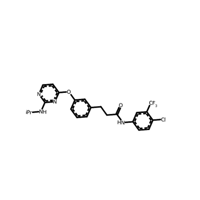 CC(C)Nc1nccc(Oc2cccc(CCC(=O)Nc3ccc(Cl)c(C(F)(F)F)c3)c2)n1